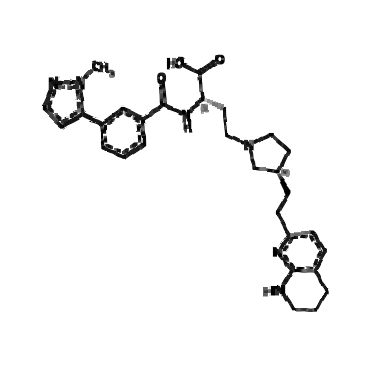 Cn1nccc1-c1cccc(C(=O)N[C@@H](CCN2CC[C@@H](CCc3ccc4c(n3)NCCC4)C2)C(=O)O)c1